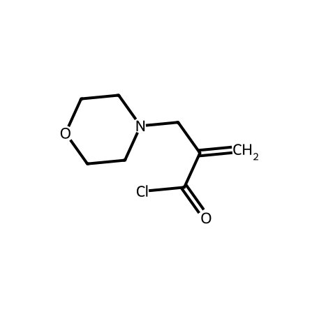 C=C(CN1CCOCC1)C(=O)Cl